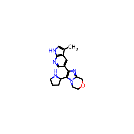 Cc1c[nH]c2ncc(-c3nc4n(c3C3CCCN3)CCOC4)cc12